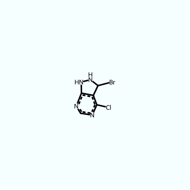 Clc1ncnc2c1C(Br)NN2